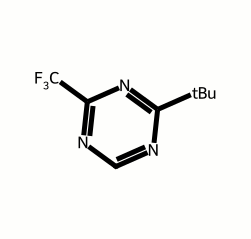 CC(C)(C)c1ncnc(C(F)(F)F)n1